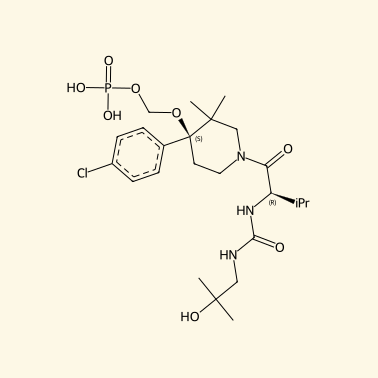 CC(C)[C@@H](NC(=O)NCC(C)(C)O)C(=O)N1CC[C@](OCOP(=O)(O)O)(c2ccc(Cl)cc2)C(C)(C)C1